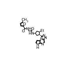 CC[C@@H]1C[C@H](NC(=O)CNC(=O)c2ccc(C)o2)C[C@@H]1c1nnc2cnc3[nH]ccc3n12